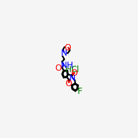 Cl.O=C(NCCCN1CCOCC1)c1ccc2c(c1)C(=O)N(Cc1cccc(F)c1)C2=O